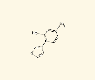 Nc1ccc(-c2ccoc2)c(O)c1